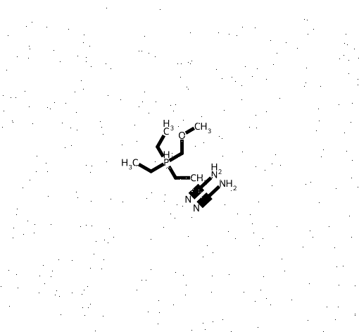 CC[PH](CC)(CC)COC.N#CN.N#CN